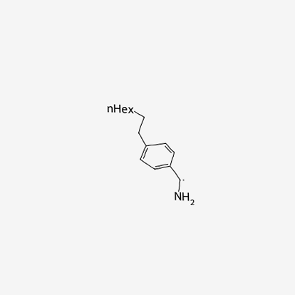 CCCCCCCCc1ccc([CH]N)cc1